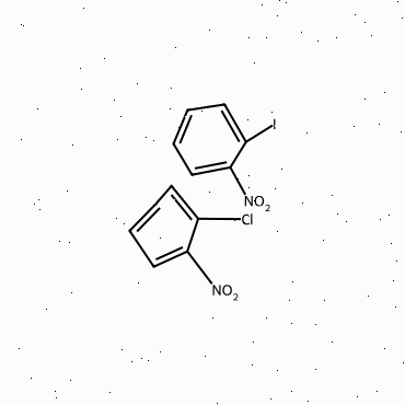 O=[N+]([O-])c1ccccc1Cl.O=[N+]([O-])c1ccccc1I